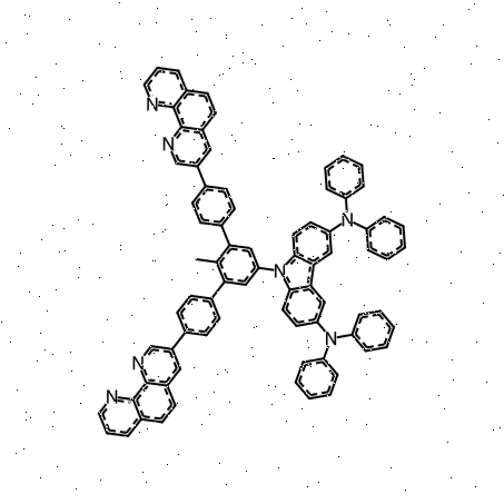 Cc1c(-c2ccc(-c3cnc4c(ccc5cccnc54)c3)cc2)cc(-n2c3ccc(N(c4ccccc4)c4ccccc4)cc3c3cc(N(c4ccccc4)c4ccccc4)ccc32)cc1-c1ccc(-c2cnc3c(ccc4cccnc43)c2)cc1